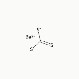 S=C([S-])[S-].[Ba+2]